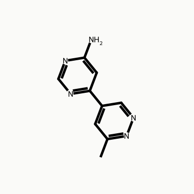 Cc1cc(-c2cc(N)ncn2)cnn1